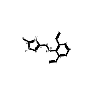 C=Cc1cccc(C=C)c1NCc1csc(C)n1